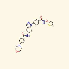 O=C(NOc1cccs1)c1ccc(-n2ncc3cc(NC(=O)c4ccc(N5CCOCC5)cc4)ccc32)cc1